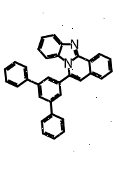 c1ccc(-c2cc(-c3ccccc3)cc(-c3cc4ccccc4c4nc5ccccc5n34)c2)cc1